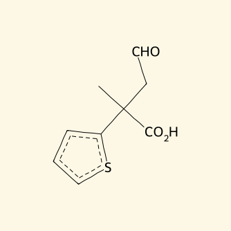 CC(CC=O)(C(=O)O)c1cccs1